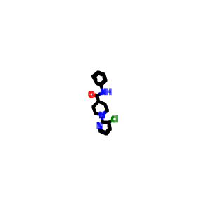 O=C(Nc1ccccc1)C1CCN(c2ncccc2Cl)CC1